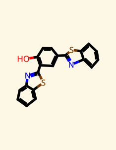 Oc1ccc(-c2nc3ccccc3s2)cc1-c1nc2ccccc2s1